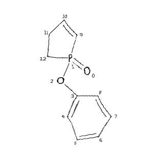 O=P1(Oc2ccccc2)C=CCC1